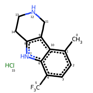 Cc1ccc(C(F)(F)F)c2[nH]c3c(c12)CNCC3.Cl